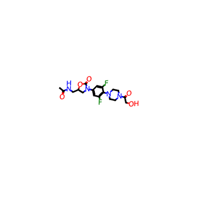 CC(=O)NCC1CN(c2cc(F)c(N3CCN(C(=O)CO)CC3)c(F)c2)C(=O)O1